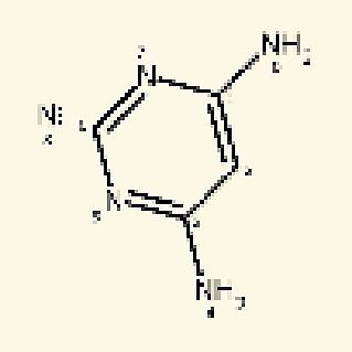 Nc1cc(N)ncn1.[N]